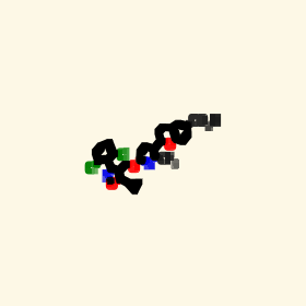 O=C(O)c1ccc2c(c1)CCC(c1ccc(OCc3c(-c4c(Cl)cccc4Cl)noc3C3CC3)nc1C(F)(F)F)O2